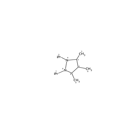 CC1C(C)N(C(C)C)N(C(C)C)C1C